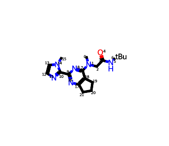 CN(CC(=O)NC(C)(C)C)c1nc(-c2nccn2C)nc2c1CCC2